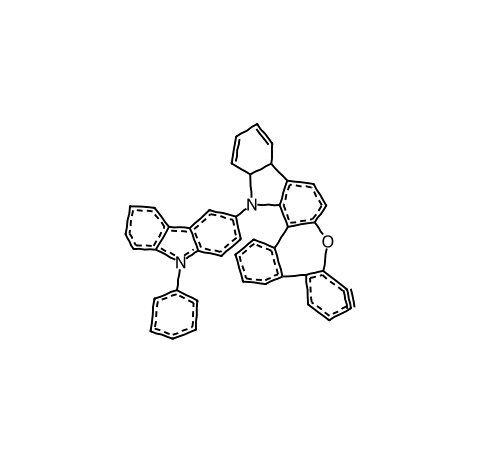 c1ccc2c(c#1)Oc1ccc3c(c1-c1ccccc1-2)N(c1ccc2c(c1)c1ccccc1n2-c1ccccc1)C1C=CC=CC31